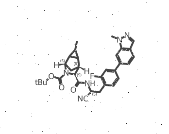 CC1C2C1[C@@H]1C[C@H]2[C@@H](C(=O)N[C@H](C#N)Cc2ccc(-c3ccc4cnn(C)c4c3)cc2F)N1C(=O)OC(C)(C)C